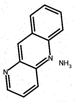 N.c1ccc2nc3cccnc3cc2c1